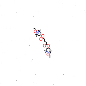 CCON1C(C)(C)CC(OC(=O)CCCC(=O)OC2CC(C)(C)N(OCC)C(C)(C)C2)CC1(C)C